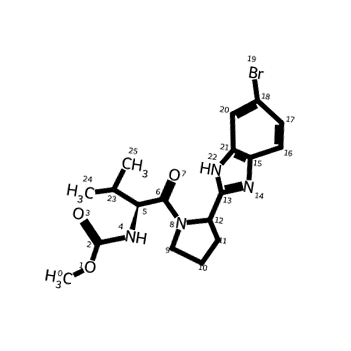 COC(=O)N[C@H](C(=O)N1CCCC1c1nc2ccc(Br)cc2[nH]1)C(C)C